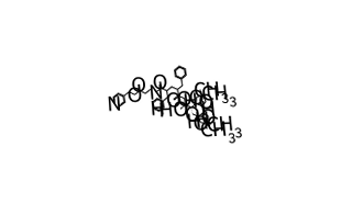 CC1(C)O[C@@H]2[C@H](O1)[C@H]1OC(C)(C)O[C@@H]1O[C@@H]2[C@@H](O)OC(=O)C(Cc1ccccc1)CC(Cc1ccccc1)C(=O)NCCC(=O)OCc1ccncc1